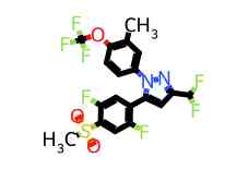 Cc1cc(-n2nc(C(F)F)cc2-c2cc(F)c(S(C)(=O)=O)cc2F)ccc1OC(F)(F)F